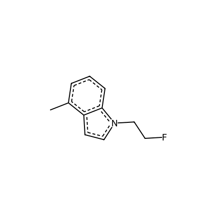 Cc1cccc2c1ccn2CCF